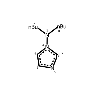 CCCCN(CCCC)n1c[c]nn1